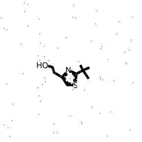 CC(C)(C)c1nc(CCO)cs1